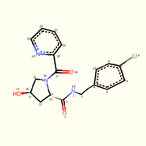 O=C(NCc1ccc(Cl)cc1)[C@@H]1C[C@@H](O)CN1C(=O)c1ccccn1